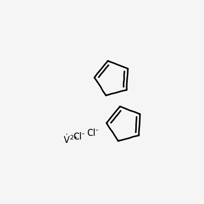 C1=CCC=C1.C1=CCC=C1.[Cl-].[Cl-].[V+2]